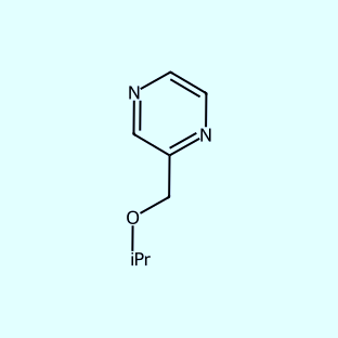 CC(C)OCc1cnccn1